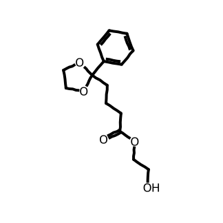 O=C(CCCC1(c2ccccc2)OCCO1)OCCO